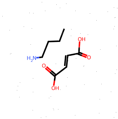 CCCCN.O=C(O)C=CC(=O)O